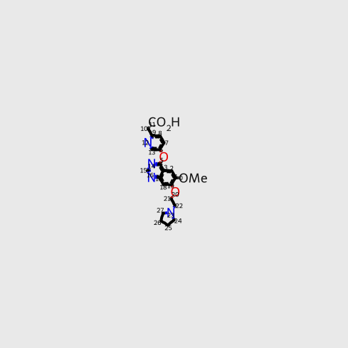 COc1cc2c(Oc3ccc(CC(=O)O)nc3)ncnc2cc1OCCN1CCCC1